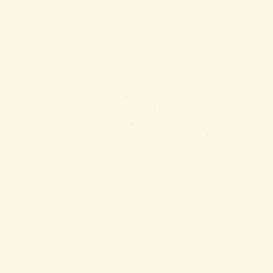 CCCOCCC.[CH2]CC